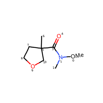 CON(C)C(=O)C1(C)CCOC1